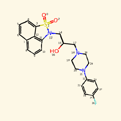 O=S1(=O)c2cccc3cccc(c23)N1CC(O)CN1CCN(c2ccc(F)cc2)CC1